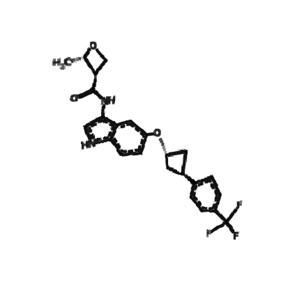 C[C@@H]1OC[C@H]1C(=O)Nc1c[nH]c2ccc(O[C@H]3C[C@H](c4ccc(C(F)(F)F)cc4)C3)cc12